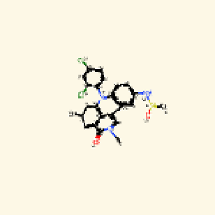 CCC1C=c2c3c(cn(C)c2=O)-c2cc(N[S+]([O-])CC)ccc2N(c2ccc(Cl)cc2Cl)C=3C1